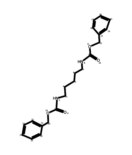 O=C(N[CH]CCCCNC(=O)OCc1ccccc1)OCc1ccccc1